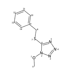 COn1nnnc1SCc1ccccc1